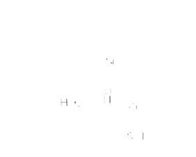 C[SiH](O[SiH3])[Si]1=CCCC1